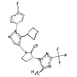 Cc1nc(C(F)(F)F)nn1C1CCN(c2cnn(-c3ccc(F)cc3)c2C2CCC2)C1=O